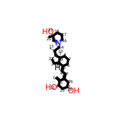 C=C1/C(=C\C=C2/CCC[C@]3(C)[C@@H]([C@H](C)CN4CCCC(C)(O)C4)CC[C@@H]23)C[C@@H](O)C[C@@H]1O